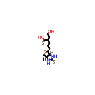 OCCC(CCC[C@@H]1SC[C@@H]2NC(=S)N[C@@H]21)C(O)=S